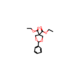 CCOC(=O)C1(C(=O)OCC)COC(c2ccccc2)OC1